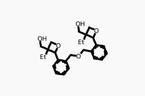 CCC1(CO)COC1c1ccccc1COCc1ccccc1C1OCC1(CC)CO